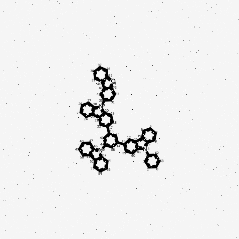 c1ccc(-n2c3ccccc3c3cc(-c4cc(-c5ccc6c(c5)c5ccccc5n6-c5ccc6oc7ccccc7c6c5)cc(-n5c6ccccc6c6ccccc65)c4)ccc32)cc1